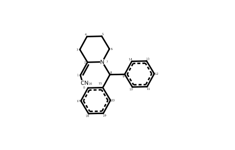 N#C/C=C1/CCCCN1C(c1ccccc1)c1ccccc1